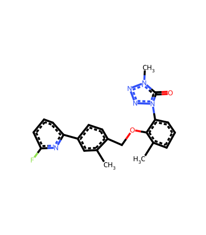 Cc1cc(-c2cccc(F)n2)ccc1COc1c(C)cccc1-n1nnn(C)c1=O